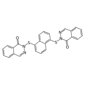 O=c1c2ccccc2cnn1Sc1cccc2c(Sn3ncc4ccccc4c3=O)cccc12